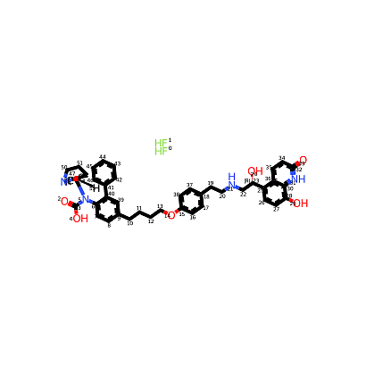 F.F.O=C(O)N(c1ccc(CCCCOc2ccc(CCNC[C@H](O)c3ccc(O)c4[nH]c(=O)ccc34)cc2)cc1-c1ccccc1)[C@H]1CN2CCC1CC2